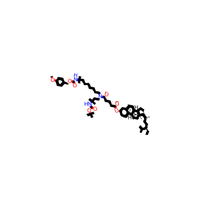 CC[C@H](CC[C@@H](C)[C@H]1CC[C@H]2[C@@H]3CC=C4C[C@@H](OC(=O)CCCC(=O)N(CCCCCCCC(C)(C)NC(=O)OCc5ccc(OC)cc5)CCC(C)(C)NC(=O)OC(C)(C)C)CC[C@]4(C)[C@H]3CC[C@]12C)C(C)C